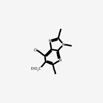 CCOC(=O)c1c(C)nc2c(nc(C)n2C)c1Cl